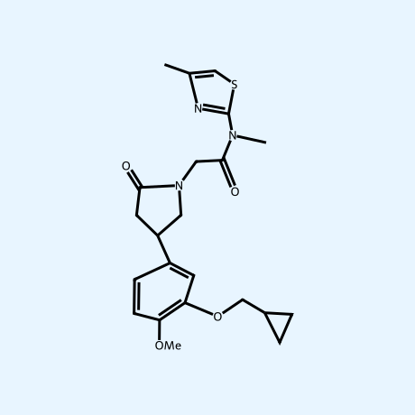 COc1ccc(C2CC(=O)N(CC(=O)N(C)c3nc(C)cs3)C2)cc1OCC1CC1